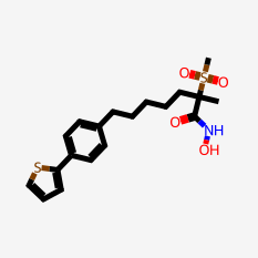 CC(CCCCCc1ccc(-c2cccs2)cc1)(C(=O)NO)S(C)(=O)=O